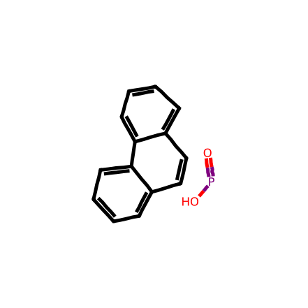 O=PO.c1ccc2c(c1)ccc1ccccc12